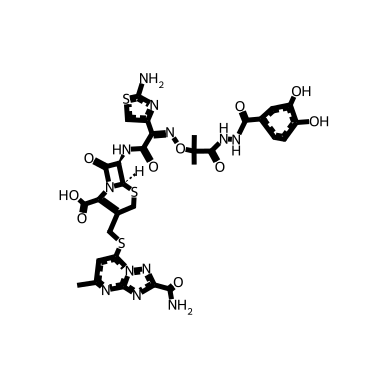 Cc1cc(SCC2=C(C(=O)O)N3C(=O)[C@@H](NC(=O)/C(=N\OC(C)(C)C(=O)NNC(=O)c4ccc(O)c(O)c4)c4csc(N)n4)[C@H]3SC2)n2nc(C(N)=O)nc2n1